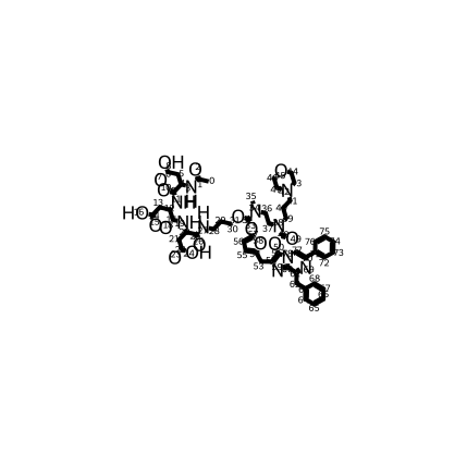 CC(=O)NC(CC(=O)O)C(=O)NC(CC(=O)O)C(=O)NC(CC(=O)O)C(=O)NCCCOC(=O)N(C)CCN(CCCN1CCOCC1)C(=O)Oc1c(Cc2ccco2)nc2c(Cc3ccccc3)nc(-c3ccccc3)cn12